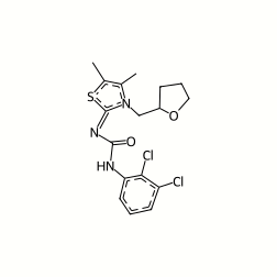 Cc1sc(=NC(=O)Nc2cccc(Cl)c2Cl)n(CC2CCCO2)c1C